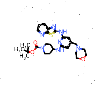 CC(C)(C)OC(=O)N1CCC(Nc2cc(CN3CCOCC3)cc(Nc3nc4cccnc4s3)n2)CC1